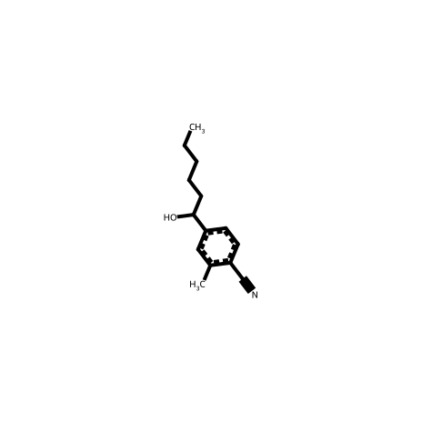 CCCCCC(O)c1ccc(C#N)c(C)c1